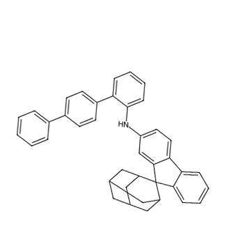 c1ccc(-c2ccc(-c3ccccc3Nc3ccc4c(c3)C3(c5ccccc5-4)C4CC5CC(C4)CC3C5)cc2)cc1